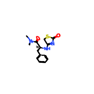 CN(C)C(=O)[C@H](Cc1ccccc1)NC1=NC(=O)SC1